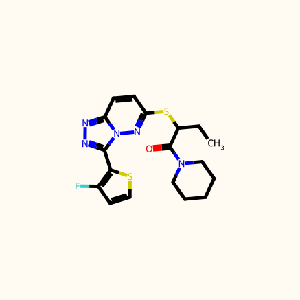 CCC(Sc1ccc2nnc(-c3sccc3F)n2n1)C(=O)N1CCCCC1